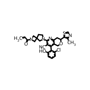 C=CC(=O)N1CC2(CCN(c3nc4c(c(-c5c(O)cccc5Cl)c3C#N)COC(c3scnc3C)C4)C2)C1